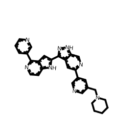 c1cncc(-c2nccc3[nH]c(-c4n[nH]c5cnc(-c6cncc(CN7CCCCC7)c6)cc45)cc23)c1